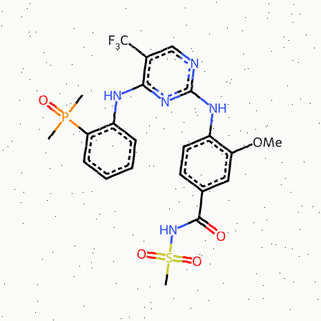 COc1cc(C(=O)NS(C)(=O)=O)ccc1Nc1ncc(C(F)(F)F)c(Nc2ccccc2P(C)(C)=O)n1